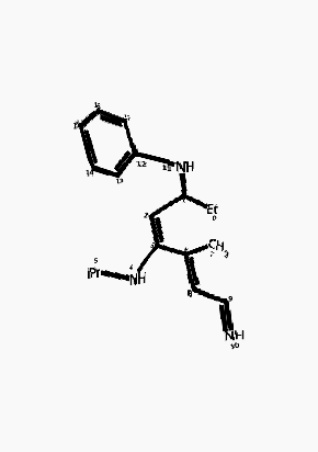 CCC(/C=C(NC(C)C)\C(C)=C\C=N)Nc1ccccc1